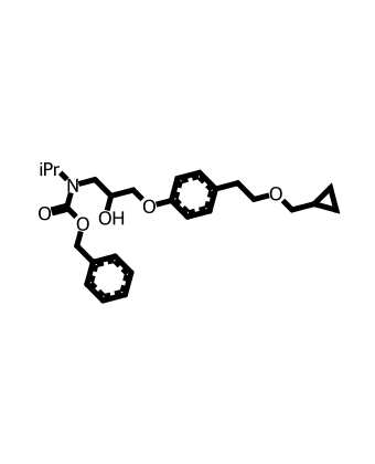 CC(C)N(CC(O)COc1ccc(CCOCC2CC2)cc1)C(=O)OCc1ccccc1